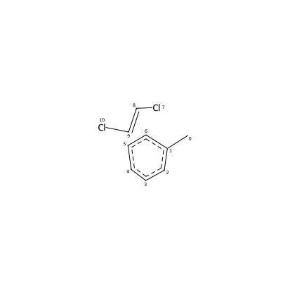 Cc1ccccc1.ClC=CCl